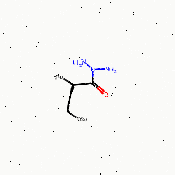 CC(C)(C)CC(C(=O)N(N)N)C(C)(C)C